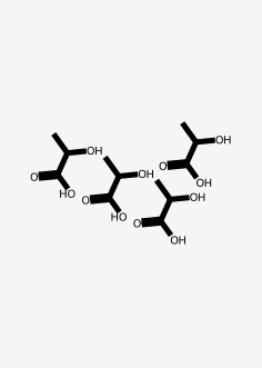 CC(O)C(=O)O.CC(O)C(=O)O.CC(O)C(=O)O.CC(O)C(=O)O